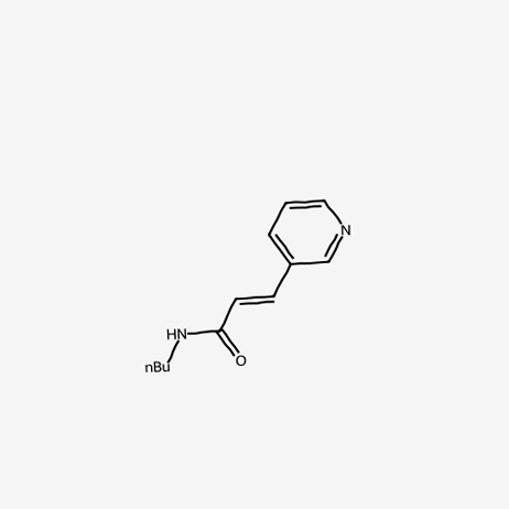 CCCCNC(=O)C=Cc1cccnc1